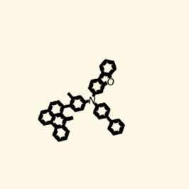 C=c1c2ccccc2c2cccc3ccc(-c4ccc(N(c5ccc(-c6ccccc6)cc5)c5ccc6c(c5)oc5ccccc56)cc4C)c1c32